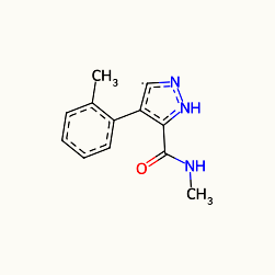 CNC(=O)c1[nH]n[c]c1-c1ccccc1C